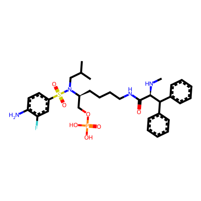 CN[C@H](C(=O)NCCCC[C@@H](COP(=O)(O)O)N(CC(C)C)S(=O)(=O)c1ccc(N)c(F)c1)C(c1ccccc1)c1ccccc1